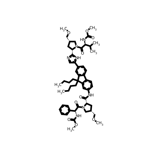 CCCCC1(CCCC)c2cc(NC(=O)[C@@H]3C[C@H](COC)CN3C(=O)[C@H](NC(=O)OC)c3ccccc3)ccc2-c2ccc(-c3cnc([C@@H]4C[C@H](COC)CN4C(=O)[C@@H](NC(=O)OC)C(C)C)[nH]3)cc21